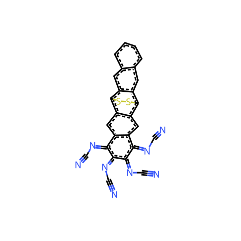 N#CN=c1c(=NC#N)c(=NC#N)c2cc3c4c5cc6ccccc6cc5c(c3cc2c1=NC#N)SS4